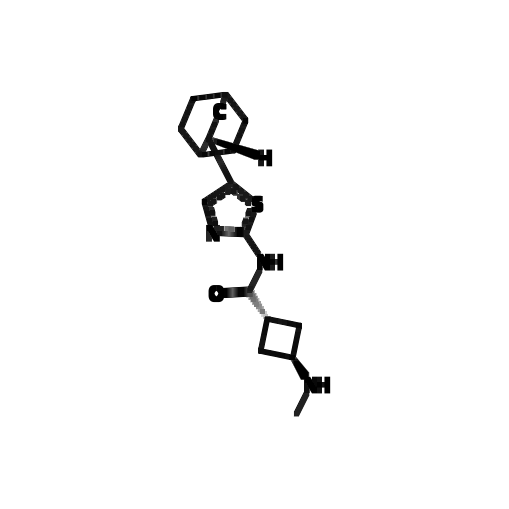 CN[C@H]1C[C@H](C(=O)Nc2ncc([C@H]3CC4CCC3CC4)s2)C1